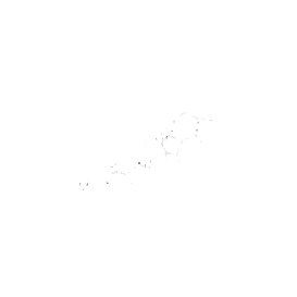 COC(=CC=Cc1cc2cc(Cl)ccc2[nH]1)C(=O)O